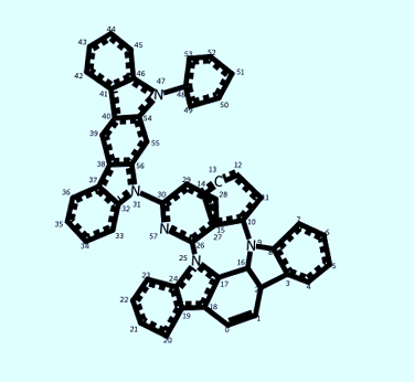 C1=CC2c3ccccc3N(c3ccccc3)C2c2c1c1ccccc1n2-c1cccc(-n2c3ccccc3c3cc4c5ccccc5n(-c5ccccc5)c4cc32)n1